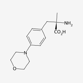 C[C@](N)(Cc1ccc(N2CCOCC2)cc1)C(=O)O